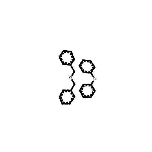 c1ccc(COCc2ccccc2)cc1.c1ccc(Oc2ccccc2)cc1